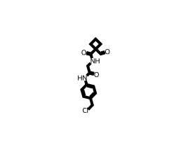 O=CC1(C(=O)NCC(=O)Nc2ccc(CCl)cc2)CCC1